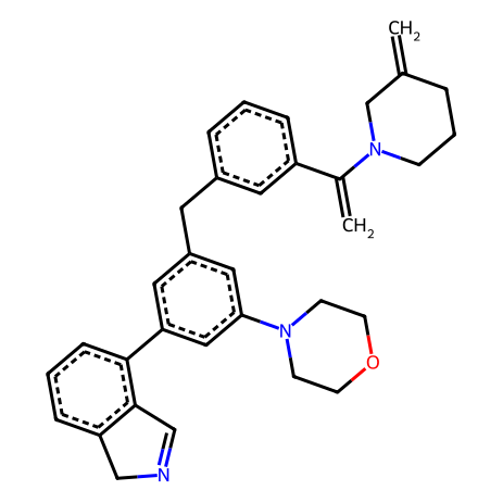 C=C1CCCN(C(=C)c2cccc(Cc3cc(-c4cccc5c4C=NC5)cc(N4CCOCC4)c3)c2)C1